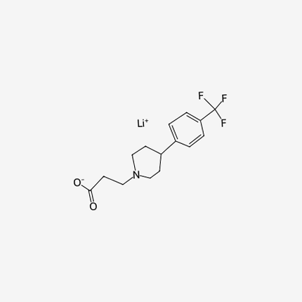 O=C([O-])CCN1CCC(c2ccc(C(F)(F)F)cc2)CC1.[Li+]